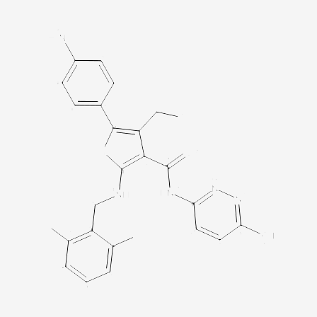 CCc1c(-c2ccc(N)cc2)sc(NCc2c(F)cccc2F)c1C(=O)Nc1ccc(C)nn1